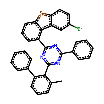 Cc1cccc(-c2ccccc2)c1-c1nc(-c2ccccc2)nc(-c2cccc3sc4ccc(Br)cc4c23)n1